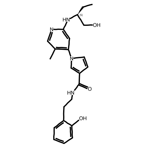 CC[C@@H](CO)Nc1cc(-n2ccc(C(=O)NCCc3ccccc3O)c2)c(C)cn1